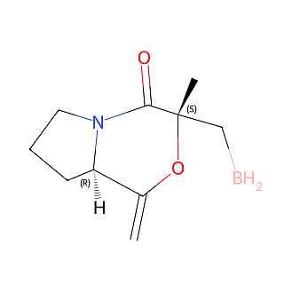 BC[C@]1(C)OC(=C)[C@H]2CCCN2C1=O